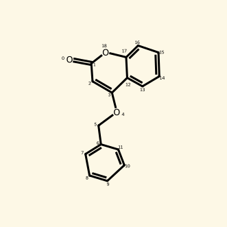 O=c1cc(OCc2ccccc2)c2ccccc2o1